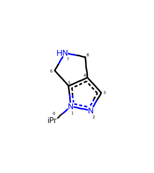 CC(C)n1ncc2c1CNC2